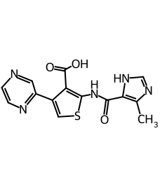 Cc1nc[nH]c1C(=O)Nc1scc(-c2cnccn2)c1C(=O)O